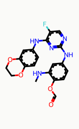 CNc1cc(Nc2ncc(F)c(Nc3ccc4c(c3)OCCO4)n2)ccc1OC=O